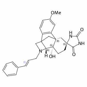 COc1ccc2c(c1)[C@]13CC24CN(C/C=C/c2ccccc2)[C@H]4[C@]1(O)CC[C@@]1(C3)NC(=O)NC1=O